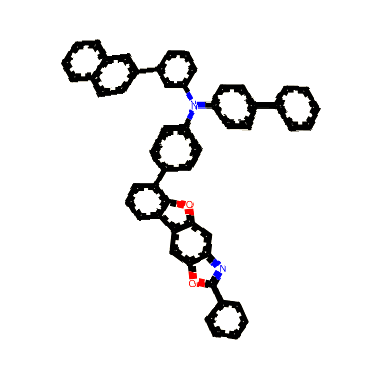 c1ccc(-c2ccc(N(c3ccc(-c4cccc5c4oc4cc6nc(-c7ccccc7)oc6cc45)cc3)c3cccc(-c4ccc5ccccc5c4)c3)cc2)cc1